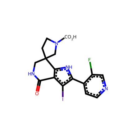 O=C1NCC2(CCN(C(=O)O)C2)c2[nH]c(-c3ccncc3F)c(I)c21